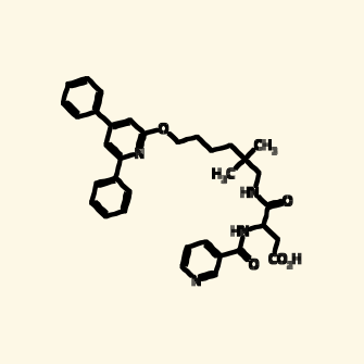 CC(C)(CCCCOc1cc(-c2ccccc2)cc(-c2ccccc2)n1)CNC(=O)C(CC(=O)O)NC(=O)c1cccnc1